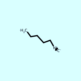 [C-]#[N+]CCCC[CH2]